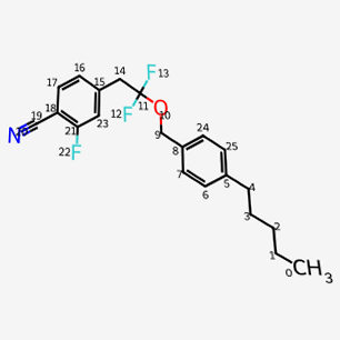 CCCCCc1ccc(COC(F)(F)Cc2ccc(C#N)c(F)c2)cc1